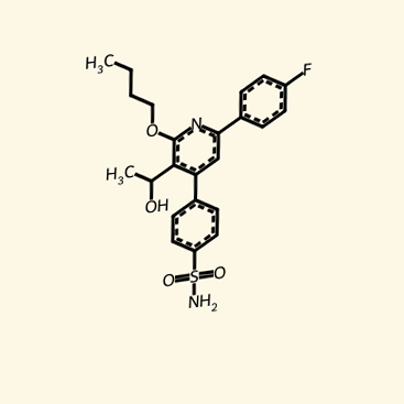 CCCCOc1nc(-c2ccc(F)cc2)cc(-c2ccc(S(N)(=O)=O)cc2)c1C(C)O